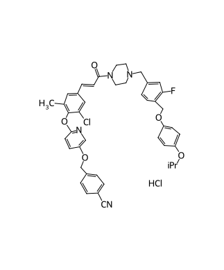 Cc1cc(/C=C/C(=O)N2CCN(Cc3ccc(COc4ccc(OC(C)C)cc4)c(F)c3)CC2)cc(Cl)c1Oc1ccc(OCc2ccc(C#N)cc2)cn1.Cl